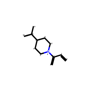 C=CC(=C)N1CCC(C(C)C)CC1